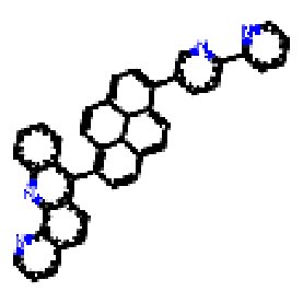 C1=CC2=C(c3c4ccccc4nc4c3ccc3cccnc34)C=CC3=CC=C4C(c5ccc(-c6ccccn6)nc5)=CC=C1C4C32